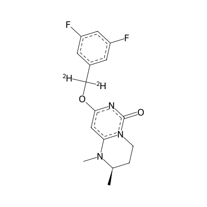 [2H]C([2H])(Oc1cc2n(c(=O)n1)CC[C@@H](C)N2C)c1cc(F)cc(F)c1